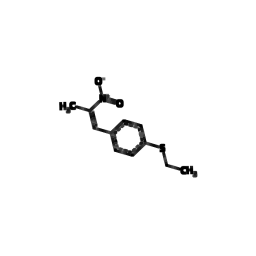 CCSc1ccc(C=C(C)[N+](=O)[O-])cc1